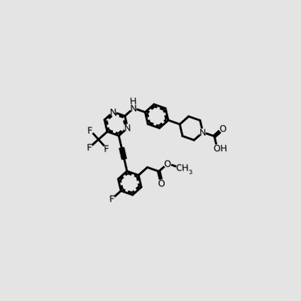 COC(=O)Cc1ccc(F)cc1C#Cc1nc(Nc2ccc(C3CCN(C(=O)O)CC3)cc2)ncc1C(F)(F)F